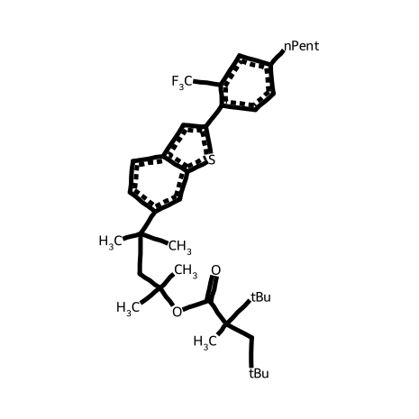 CCCCCc1ccc(-c2cc3ccc(C(C)(C)CC(C)(C)OC(=O)C(C)(CC(C)(C)C)C(C)(C)C)cc3s2)c(C(F)(F)F)c1